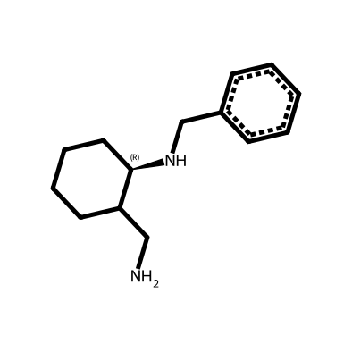 NCC1CCCC[C@H]1NCc1ccccc1